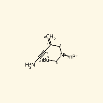 C=C(C#CN)CN(CCC)CC(C)CC